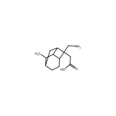 CC1C2CCC3C1C(C2)C3(CN)CC(=O)O